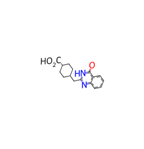 O=C(O)C1CCC(Cc2nc3ccccc3c(=O)[nH]2)CC1